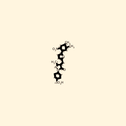 CC1=NN(c2ccc(S(=O)(=O)O)cc2)C(=O)/C1=C/c1ccc(-c2cc(C)c(C)cc2[N+](=O)[O-])o1